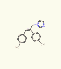 N#Cc1ccc(/C=C(/Cn2ccnc2)c2ccc(C#N)cc2)cc1